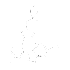 COCC1(F)CCc2c(-c3cc(C)nc4[nH]ncc34)c(-c3ccc(F)cn3)nn2C1